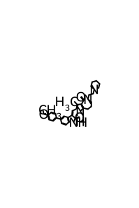 COc1ccc(-c2ccc3c(c2)C(=Cc2[nH]c4c(c2C)C(=O)N(CCN2CCCCC2)CCC4)C(=O)N3)cc1